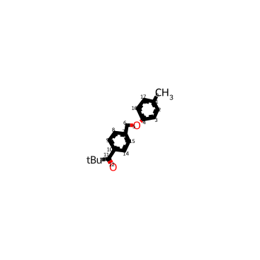 Cc1ccc(OCc2ccc(C(=O)C(C)(C)C)cc2)cc1